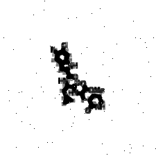 COC(=O)C(C[C@@H]1CCCNC1=O)NC(=O)C(CC1CC1)NC(=O)c1cc2cc(F)c(Cl)cc2[nH]1